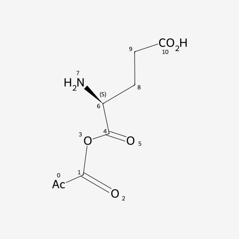 CC(=O)C(=O)OC(=O)[C@@H](N)CCC(=O)O